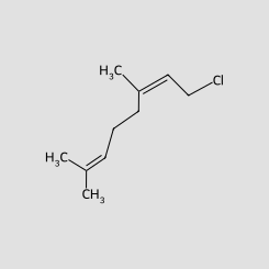 CC(C)=CCC/C(C)=C\CCl